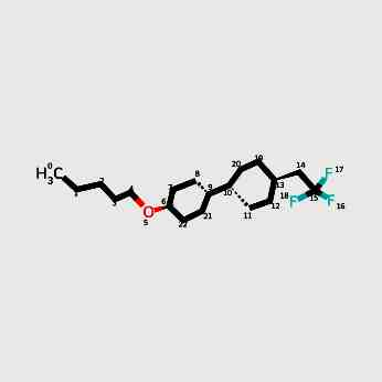 CCCCCO[C@H]1CC[C@H]([C@H]2CC[C@H](CC(F)(F)F)CC2)CC1